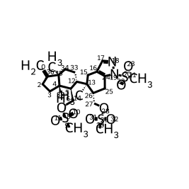 C=C1CC[C@H]2[C@H](COS(C)(=O)=O)[C@@H]([C@@]3(C)Cc4cnn(S(C)(=O)=O)c4C[C@@H]3COS(C)(=O)=O)CC[C@]12C